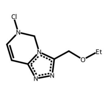 CCOCc1nnc2n1CN(Cl)C=C2